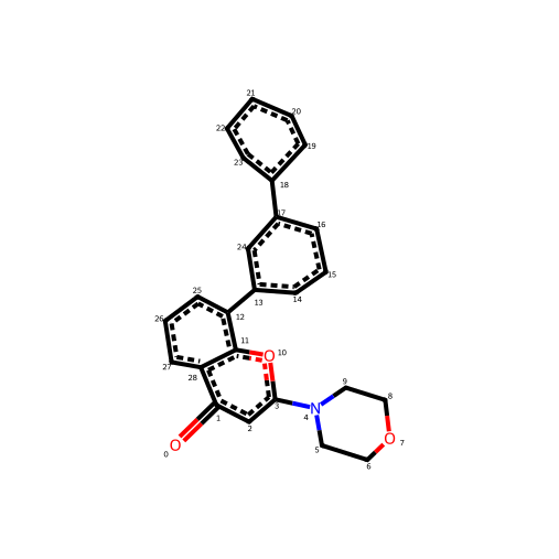 O=c1cc(N2CCOCC2)oc2c(-c3cccc(-c4ccccc4)c3)cccc12